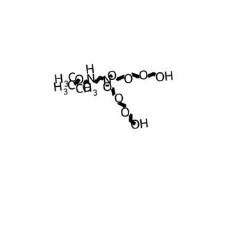 CC(C)(C)OC(=O)NCCN(OCCOCCOCCO)OCCOCCOCCO